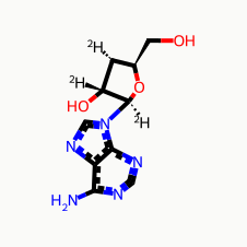 [2H][C@@H]1[C@@H](CO)O[C@@]([2H])(n2cnc3c(N)ncnc32)[C@]1([2H])O